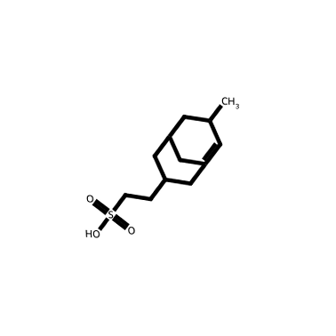 CC1C=C2CC(CCS(=O)(=O)O)CC(C2)C1